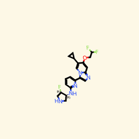 FC(F)COc1cc2ncc(-c3cccc(N[C@@H]4CNC[C@H]4F)n3)n2cc1C1CC1